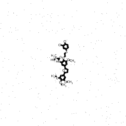 COc1cc(C2CCC(c3cc(OC)c(OC)c(OC)c3)O2)cc(NC(=O)N(C)O)c1OCCSc1ccc(Cl)c(Cl)c1